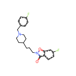 O=c1c2ccc(F)cc2on1CCCC1CCN(Cc2ccc(F)cc2)CC1